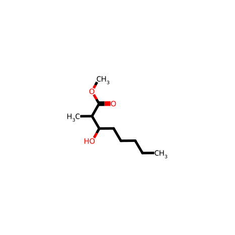 CCCCCC(O)C(C)C(=O)OC